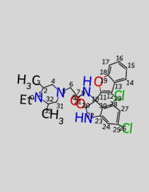 CCN1C(C)CN(CC(=O)NC2(c3cc4ccccc4o3)C(=O)Nc3cc(Cl)cc(Cl)c32)CC1C